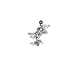 CC[C@H](C)[C@@H]([C@@H](CC(=O)N1CCC[C@H]1C(OC)[C@@H](C)C(=O)N[C@@H](Cc1ccccc1)C(=O)O)OC)N(C)C(=O)CNC(=O)[C@]1(C)CCCN1C